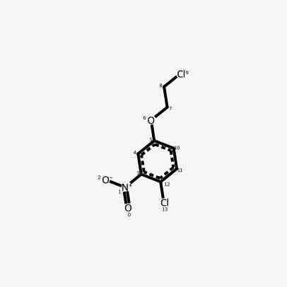 O=[N+]([O-])c1cc(OCCCl)ccc1Cl